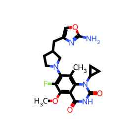 COc1c(F)c(N2CCC(Cc3coc(N)n3)C2)c(C)c2c1c(=O)[nH]c(=O)n2C1CC1